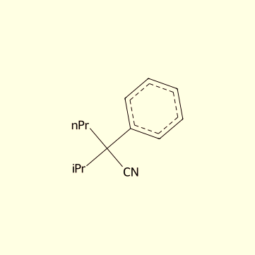 [CH2]CCC(C#N)(c1ccccc1)C(C)C